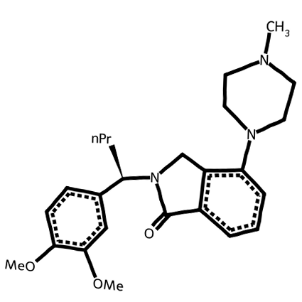 [CH2]CC[C@H](c1ccc(OC)c(OC)c1)N1Cc2c(cccc2N2CCN(C)CC2)C1=O